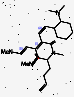 C=CCCC(C(=C)NC)N(C)C(=C)C(/C=C\C1CCCCC1N(C)C)=C(C=C)/C=C/NC